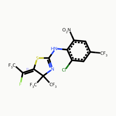 O=[N+]([O-])c1cc(C(F)(F)F)cc(Cl)c1NC1=NC(C(F)(F)F)(C(F)(F)F)/C(=C(\F)C(F)(F)F)S1